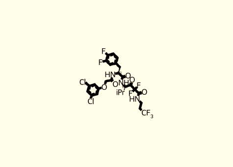 CC(C)[C@H](NC(=O)[C@H](Cc1ccc(F)c(F)c1)NC(=O)COc1cc(Cl)cc(Cl)c1)C(=O)C(F)(F)C(=O)NCCC(F)(F)F